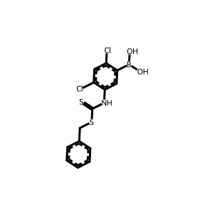 OB(O)c1cc(NC(=S)SCc2ccccc2)c(Cl)cc1Cl